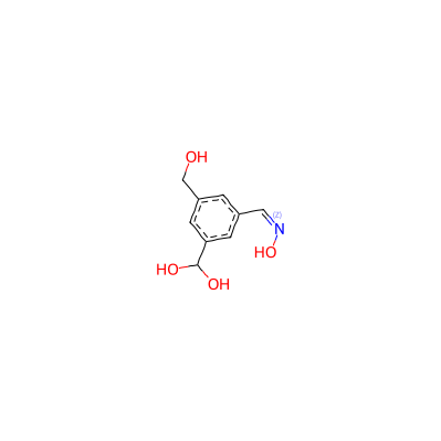 OCc1cc(/C=N\O)cc(C(O)O)c1